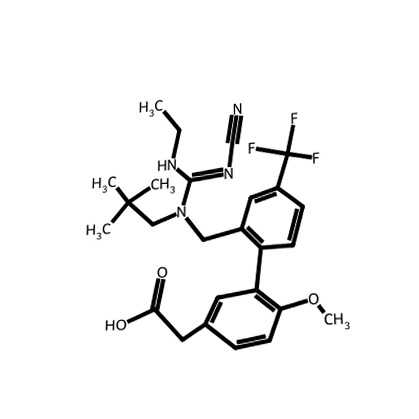 CCNC(=NC#N)N(Cc1cc(C(F)(F)F)ccc1-c1cc(CC(=O)O)ccc1OC)CC(C)(C)C